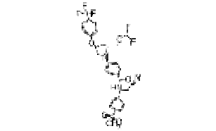 CS(=O)(=O)c1ccc([C@H](CC#N)NC(=O)c2ccc(N3C[C@@H](Oc4ccc(C(F)(F)F)cc4)C[C@H]3COC(F)F)cc2)cc1